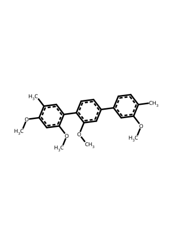 COc1cc(-c2ccc(-c3cc(C)c(OC)cc3OC)c(OC)c2)ccc1C